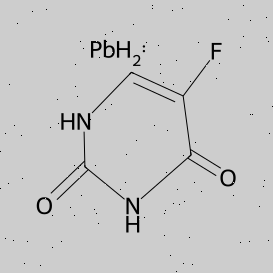 O=c1[nH]cc(F)c(=O)[nH]1.[PbH2]